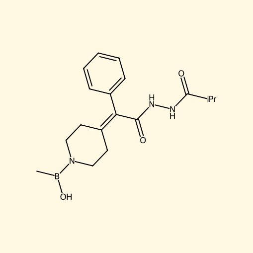 CB(O)N1CCC(=C(C(=O)NNC(=O)C(C)C)c2ccccc2)CC1